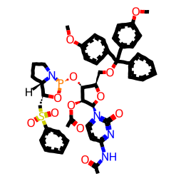 COc1ccc(C(OC[C@H]2O[C@@H](n3ccc(NC(C)=O)nc3=O)[C@@H](OC(C)=O)[C@@H]2O[P@]2O[C@H](CS(=O)(=O)c3ccccc3)[C@@H]3CCCN32)(c2ccccc2)c2ccc(OC)cc2)cc1